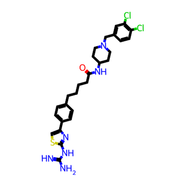 N=C(N)Nc1nc(-c2ccc(CCCCC(=O)NC3CCN(Cc4ccc(Cl)c(Cl)c4)CC3)cc2)cs1